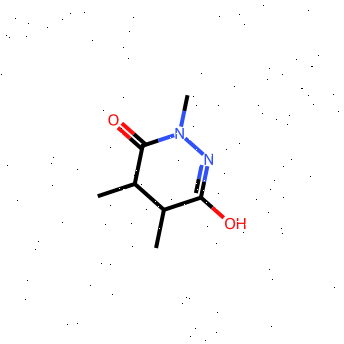 CC1C(=O)N(C)N=C(O)C1C